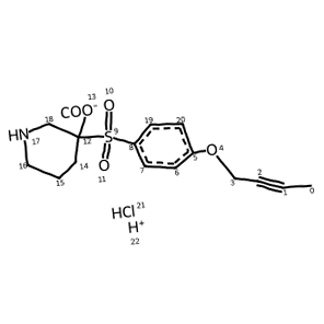 CC#CCOc1ccc(S(=O)(=O)C2(C(=O)[O-])CCCNC2)cc1.Cl.[H+]